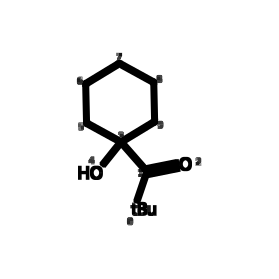 CC(C)(C)C(=O)C1(O)CCCCC1